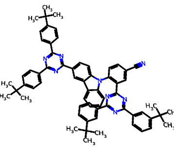 CC(C)(C)c1ccc(-c2nc(-c3ccc(C(C)(C)C)cc3)nc(-c3ccc4c(c3)c3ccccc3n4-c3ccc(C#N)cc3-c3nc(-c4cccc(C(C)(C)C)c4)nc(-c4cccc(C(C)(C)C)c4)n3)n2)cc1